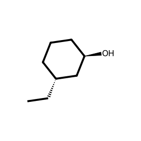 CC[C@@H]1CCC[C@@H](O)C1